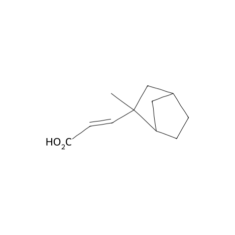 CC1(C=CC(=O)O)CC2CCC1C2